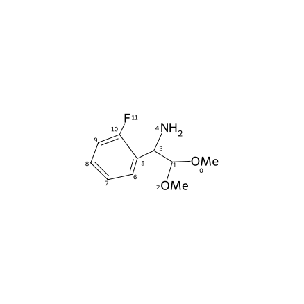 COC(OC)C(N)c1ccccc1F